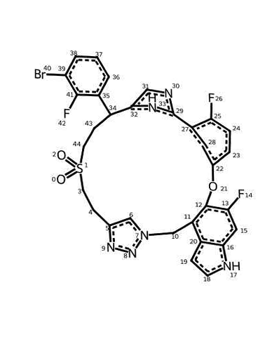 O=S1(=O)CCc2cn(nn2)Cc2c(c(F)cc3[nH]ccc23)Oc2ccc(F)c(c2)-c2ncc([nH]2)C(c2cccc(Br)c2F)CC1